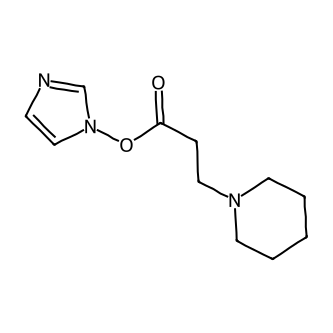 O=C(CCN1CCCCC1)On1ccnc1